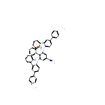 Cc1ccc(-c2ccc3c(c2)c2ccccc2n3-c2cc(C#N)cc(-n3c4ccccc4c4cc(-c5ccc(C)cc5)ccc43)c2-c2ccccc2C(F)(F)F)cc1